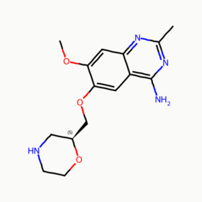 COc1cc2nc(C)nc(N)c2cc1OC[C@@H]1CNCCO1